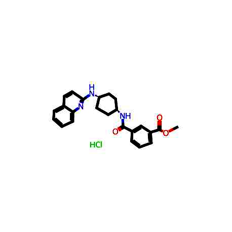 COC(=O)c1cccc(C(=O)N[C@H]2CC[C@@H](Nc3ccc4ccccc4n3)CC2)c1.Cl